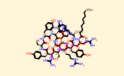 CCCCCCCCCCCCCCCCCC(=O)N[C@@H](CC(C)C)C(=O)N[C@@H](Cc1ccc(O)cc1)C(=O)N[C@@H](Cc1c[nH]c2ccccc12)C(=O)N[C@@H](CO)C(=O)N[C@@H](Cc1ccc(O)cc1)C(=O)N[C@@H](CC(C)C)C(=O)N[C@@H](Cc1ccc(O)cc1)C(=O)N[C@@H](CC(N)=O)C(=O)N[C@@H](CCCNC(=N)N)C(=O)N[C@@H](CCCNC(=N)N)C(=O)N[C@@H](CCCNC(=N)N)C(=O)N[C@@H](CCCNC(=N)N)C(=O)O